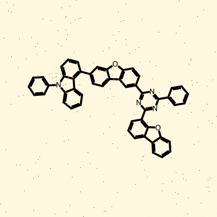 c1ccc(-c2nc(-c3ccc4oc5cc(-c6cccc7c6c6ccccc6n7-c6ccccc6)ccc5c4c3)nc(-c3cccc4c3oc3ccccc34)n2)cc1